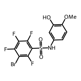 COc1ccc(NS(=O)(=O)c2c(F)c(F)c(F)c(Br)c2F)cc1O